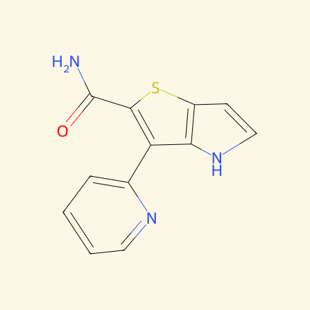 NC(=O)c1sc2cc[nH]c2c1-c1ccccn1